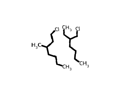 CCCCC(C)CCCl.CCCCC(CC)CCl